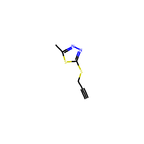 C#CCSc1nnc(C)s1